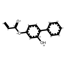 C=CC(=O)Oc1ccc(-c2ccccc2)c(O)c1